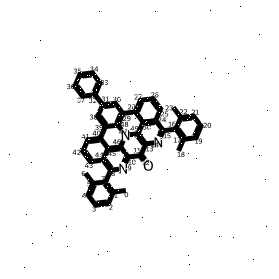 Cc1cccc(C)c1-c1nc2c(=O)c3nc(-c4c(C)cccc4C)c4cccc5c6cc(-c7ccccc7)cc7c8cccc1c8c2n(c76)c3c45